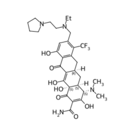 CCN(CCN1CCCC1)Cc1cc(O)c2c(c1C(F)(F)F)C[C@H]1C[C@H]3[C@H](N(C)C)C(O)=C(C(N)=O)C(=O)[C@@]3(O)C(O)=C1C2=O